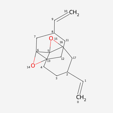 C=CC1CCC2(C34CC(C=C)CCC3O4)OC2C1